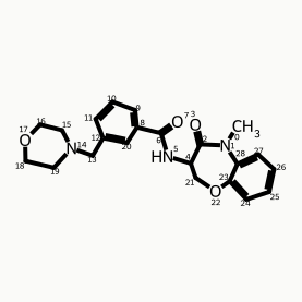 CN1C(=O)C(NC(=O)c2cccc(CN3CCOCC3)c2)COc2ccccc21